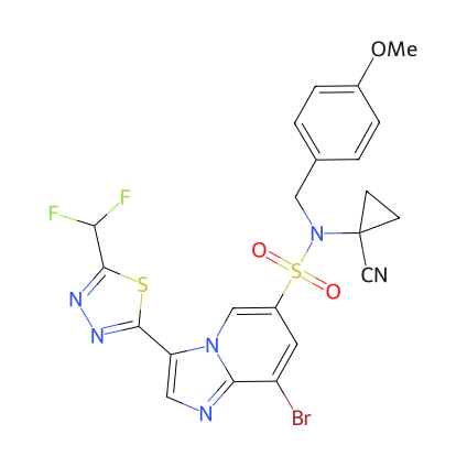 COc1ccc(CN(C2(C#N)CC2)S(=O)(=O)c2cc(Br)c3ncc(-c4nnc(C(F)F)s4)n3c2)cc1